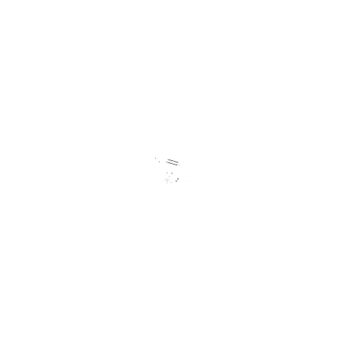 [MgH2].[O]=[Nb].[PbH2]